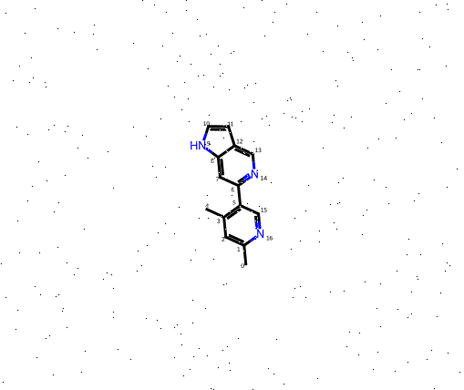 Cc1cc(C)c(-c2cc3[nH]ccc3cn2)cn1